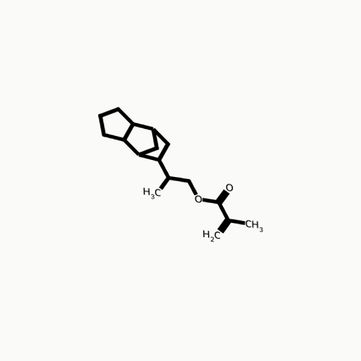 C=C(C)C(=O)OCC(C)C1CC2CC1C1CCCC21